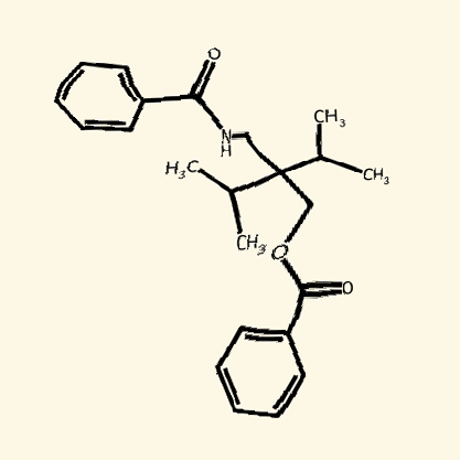 CC(C)C(CNC(=O)c1ccccc1)(COC(=O)c1ccccc1)C(C)C